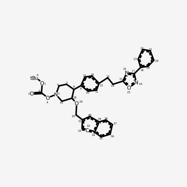 CC(C)(C)OC(=O)ON1CCC(c2ccc(CCc3nc(-c4ccccc4)no3)cc2)C(OCc2ccc3ccccc3c2)C1